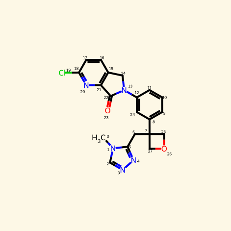 Cn1cnnc1CC1(c2cccc(N3Cc4ccc(Cl)nc4C3=O)c2)COC1